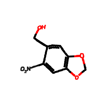 O=[N+]([O-])c1cc2c(cc1CO)OCO2